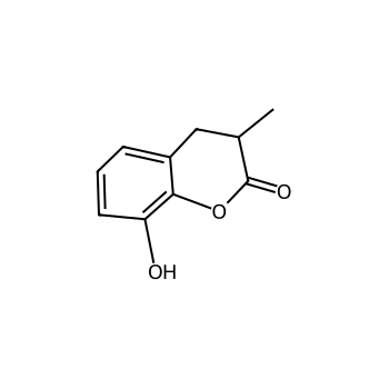 CC1Cc2cccc(O)c2OC1=O